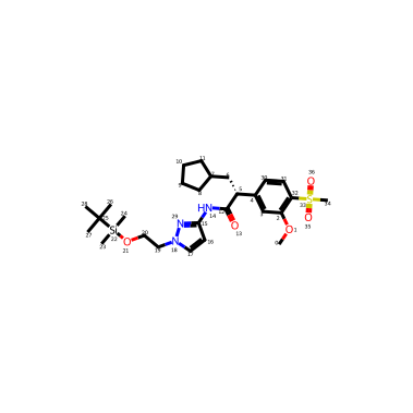 COc1cc([C@@H](CC2CCCC2)C(=O)Nc2ccn(CCO[Si](C)(C)C(C)(C)C)n2)ccc1S(C)(=O)=O